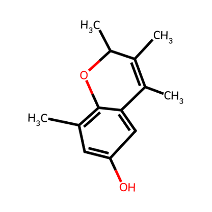 CC1=C(C)C(C)Oc2c(C)cc(O)cc21